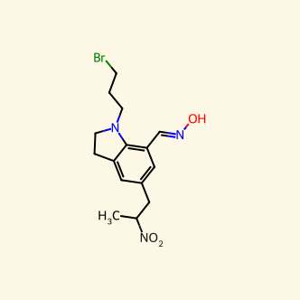 CC(Cc1cc(/C=N/O)c2c(c1)CCN2CCCBr)[N+](=O)[O-]